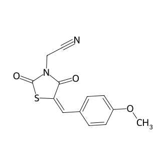 COc1ccc(C=C2SC(=O)N(CC#N)C2=O)cc1